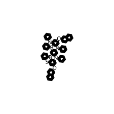 c1ccc(N2c3cc4c(cc3B3c5ccccc5Sc5cc(Oc6ccc7ccccc7c6)cc2c53)B2c3ccccc3N(c3ccccc3)c3cc(Oc5ccc6ccccc6c5)cc(c32)N4c2ccccc2)cc1